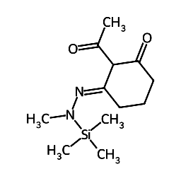 CC(=O)C1C(=O)CCCC1=NN(C)[Si](C)(C)C